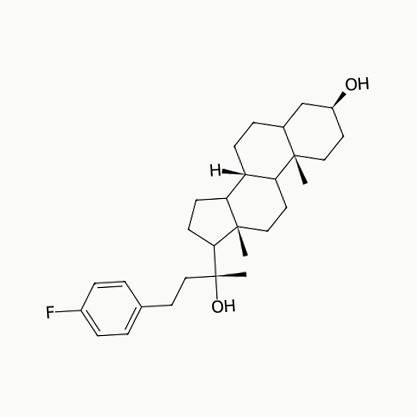 C[C@]12CC[C@H](O)CC1CC[C@@H]1C2CC[C@@]2(C)C1CCC2[C@](C)(O)CCc1ccc(F)cc1